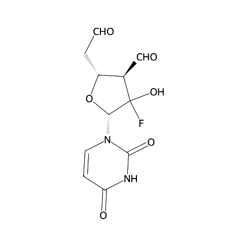 O=CC[C@H]1O[C@@H](n2ccc(=O)[nH]c2=O)C(O)(F)[C@@H]1C=O